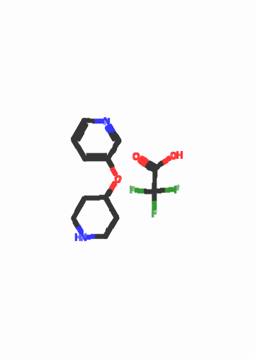 O=C(O)C(F)(F)F.c1cncc(OC2CCNCC2)c1